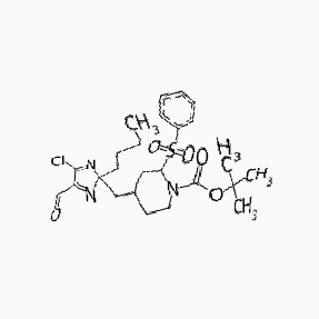 CCCCC1(CC2CCN(C(=O)OC(C)(C)C)C(S(=O)(=O)c3ccccc3)C2)N=C(Cl)C(C=O)=N1